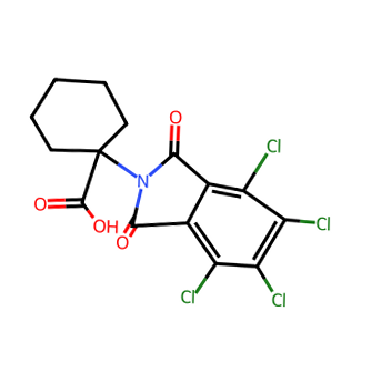 O=C1c2c(Cl)c(Cl)c(Cl)c(Cl)c2C(=O)N1C1(C(=O)O)CCCCC1